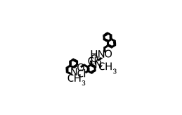 Cc1ccc2cccc(OCc3c(Cl)ccc(N(C)C(=O)CNC(=O)Cc4cccc5ccccc45)c3Cl)c2n1